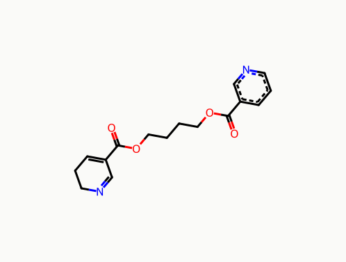 O=C(OCCCCOC(=O)c1cccnc1)C1=CCCN=C1